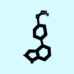 COc1ccc(-c2cccc3s[c]cc23)cc1